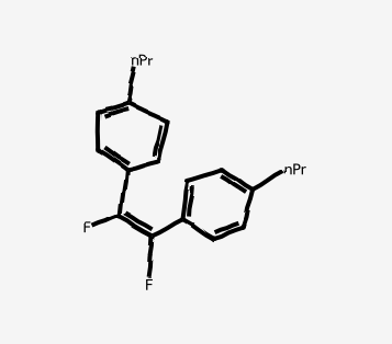 CCCc1ccc(/C(F)=C(/F)c2ccc(CCC)cc2)cc1